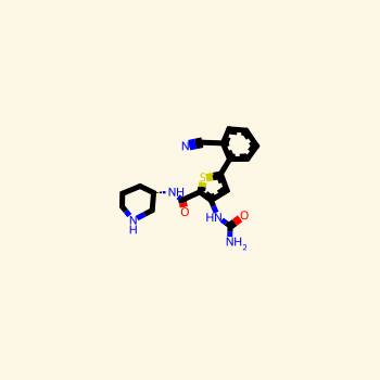 N#Cc1ccccc1-c1cc(NC(N)=O)c(C(=O)N[C@H]2CCCNC2)s1